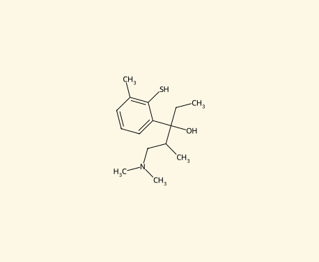 CCC(O)(c1cccc(C)c1S)C(C)CN(C)C